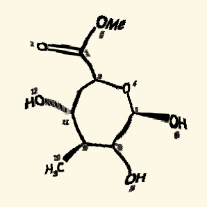 COC(=O)C1O[C@@H](O)C(O)[C@@H](C)[C@@H]1O